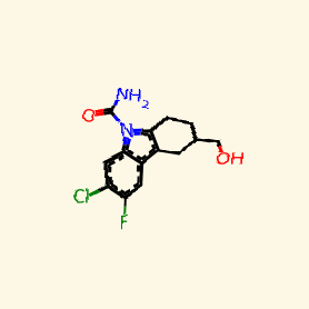 NC(=O)n1c2c(c3cc(F)c(Cl)cc31)C[C](CO)CC2